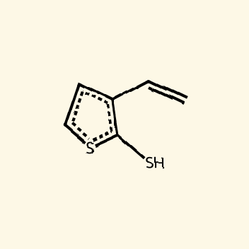 C=Cc1ccsc1S